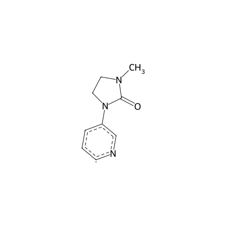 CN1CCN(c2cc[c]nc2)C1=O